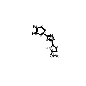 COC1CCC(c2nc(-c3ccc(F)c(F)c3)no2)N1